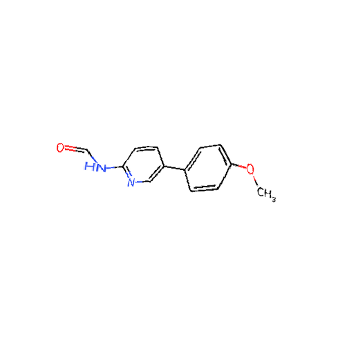 COc1ccc(-c2ccc(NC=O)nc2)cc1